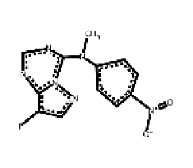 CN(c1ccc([N+](=O)[O-])cc1)c1ncnc2c(I)cnn12